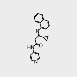 O=C(CC(=Nc1cccc2ccccc12)C1CC1)Nc1ccncc1